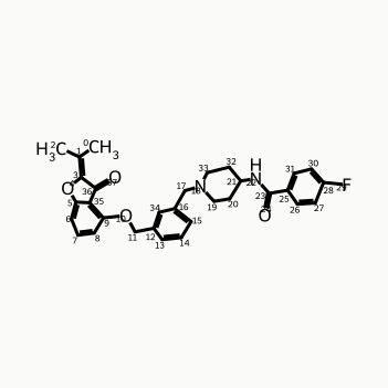 CC(C)=C1Oc2cccc(OCc3cccc(CN4CCC(NC(=O)c5ccc(F)cc5)CC4)c3)c2C1=O